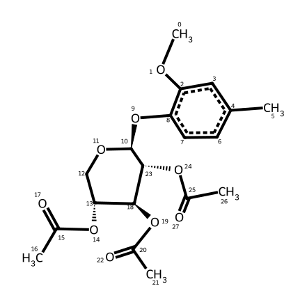 COc1cc(C)ccc1O[C@@H]1OC[C@@H](OC(C)=O)[C@H](OC(C)=O)[C@H]1OC(C)=O